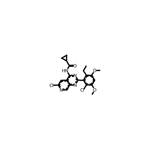 CCc1c(OC)cc(OC)c(Cl)c1-c1nc(NC(=O)C2CC2)c2cc(Cl)ncc2n1